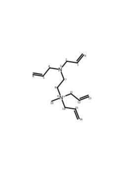 C=CCN(CC=C)CC[N+](C)(CC=C)CC=C